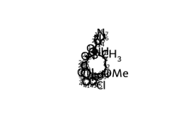 CO[C@H]1/C=C/C[C@H](C)CS(=O)(NC(=O)c2cc3ccncn3c2)=NC(=O)c2ccc3c(c2)N(C[C@@H]2CC[C@H]21)C[C@@]1(CCCc2cc(Cl)ccc21)CO3